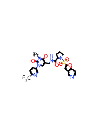 CC(C)n1c(=O)c(CNC(=O)C2CCCN2S(=O)(=O)c2cc3cnccc3o2)cn(-c2ccc(C(F)(F)F)nc2)c1=O